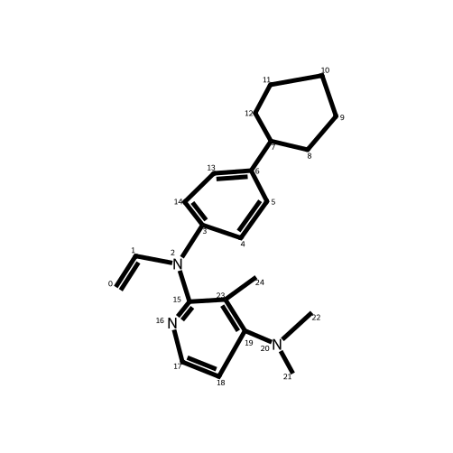 C=CN(c1ccc(C2CCCCC2)cc1)c1nccc(N(C)C)c1C